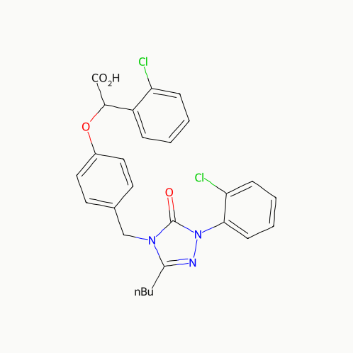 CCCCc1nn(-c2ccccc2Cl)c(=O)n1Cc1ccc(OC(C(=O)O)c2ccccc2Cl)cc1